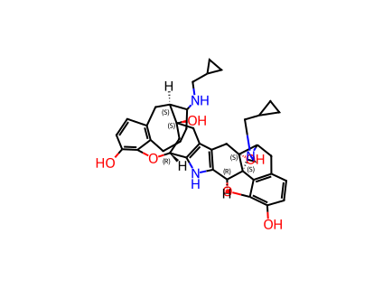 Oc1ccc2c3c1O[C@@H]1C[C@@](O)(Cc4c1[nH]c1c4C[C@@]4(O)C5Cc6ccc(O)c7c6[C@@]4(CCN5CC4CC4)[C@H]1O7)[C@@H](C2)C(NCC1CC1)CCC3